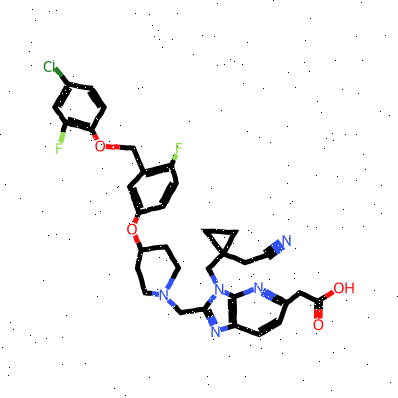 N#CCC1(Cn2c(CN3CCC(Oc4ccc(F)c(COc5ccc(Cl)cc5F)c4)CC3)nc3ccc(CC(=O)O)nc32)CC1